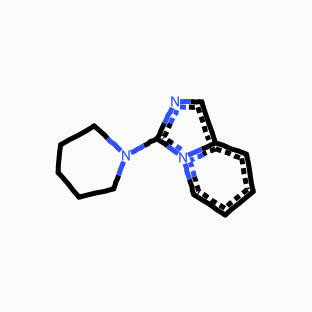 c1ccn2c(N3CCCCC3)ncc2c1